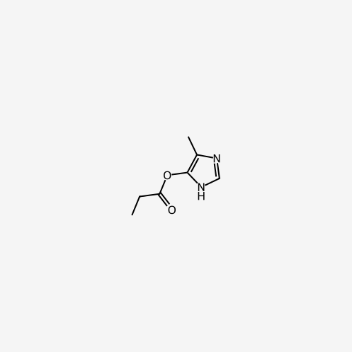 CCC(=O)Oc1[nH]cnc1C